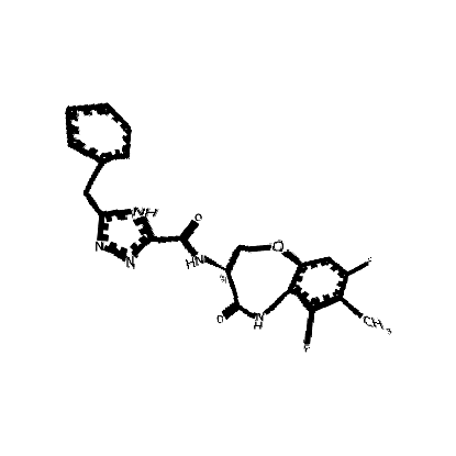 Cc1c(F)cc2c(c1F)NC(=O)[C@@H](NC(=O)c1nnc(Cc3ccccc3)[nH]1)CO2